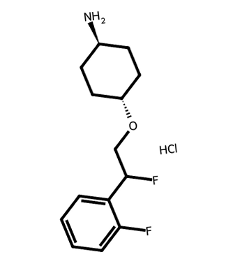 Cl.N[C@H]1CC[C@H](OCC(F)c2ccccc2F)CC1